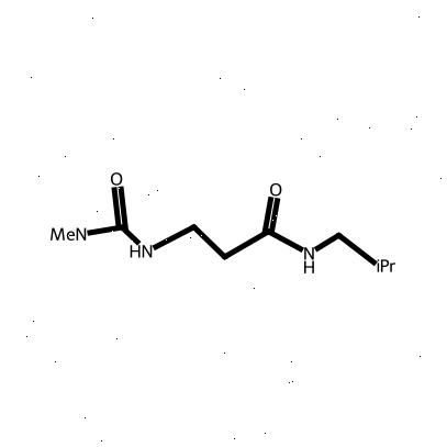 CNC(=O)NCCC(=O)NCC(C)C